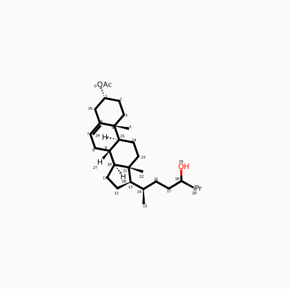 CC(=O)O[C@@H]1CC[C@@]2(C)C(=CC[C@H]3[C@@H]4CC[C@H]([C@H](C)CCC(O)C(C)C)[C@@]4(C)CC[C@@H]32)C1